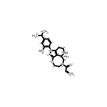 C=CC(=O)N1CCOc2nn(-c3ccc(C(C)C)cc3O)c3c2[C@H](C1)NCC3